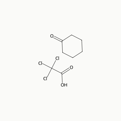 O=C(O)C(Cl)(Cl)Cl.O=C1CCCCC1